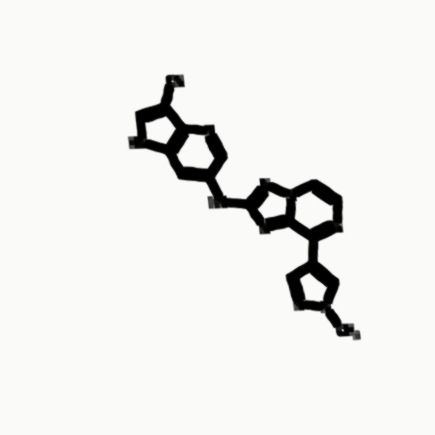 Cn1cc(-c2nccn3nc(Nc4cnc5c(C#N)c[nH]c5c4)nc23)cn1